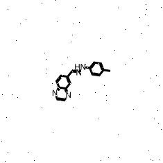 Cc1ccc(NN=Cc2ccc3nccnc3c2)cc1